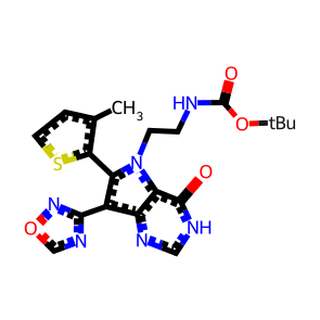 Cc1ccsc1-c1c(-c2ncon2)c2nc[nH]c(=O)c2n1CCNC(=O)OC(C)(C)C